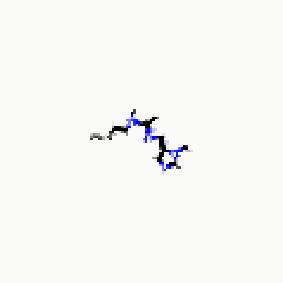 CNCCN(C)/C(C)=N/C=C1\CN=CN1C